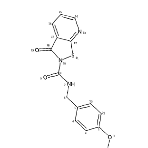 CC(C)Oc1ccc(CNC(=O)n2sc3ncccc3c2=O)cc1